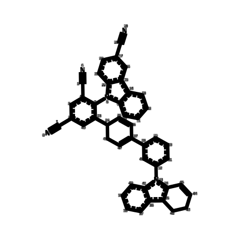 N#Cc1cc(C#N)c(-n2c3ccccc3c3cc(C#N)ccc32)c(C2C=CC(c3cccc(-n4c5c(c6ccccc64)CCC=C5)c3)=CC2)c1